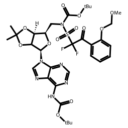 COCOc1ccccc1C(=O)C(F)(F)S(=O)(=O)N(C[C@H]1O[C@@H](n2cnc3c(NC(=O)OC(C)(C)C)ncnc32)C2OC(C)(C)O[C@H]21)C(=O)OC(C)(C)C